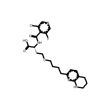 O=C(N[C@H](CCOCCCCc1ccc2c(n1)NCCC2)C(=O)O)c1c(F)cncc1Cl